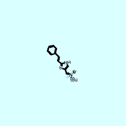 CC(C)(C)/[N+]([O-])=C/c1c[nH]c(C=Cc2ccccc2)n1